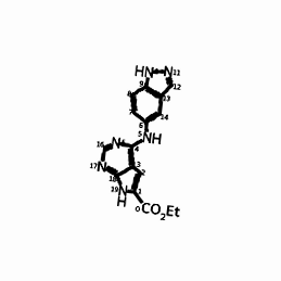 CCOC(=O)c1cc2c(Nc3ccc4[nH]ncc4c3)ncnc2[nH]1